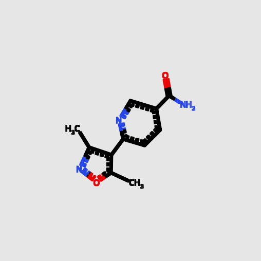 Cc1noc(C)c1-c1ccc(C(N)=O)cn1